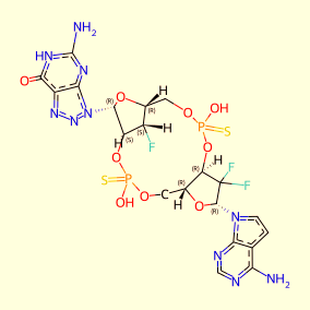 Nc1nc2c(nnn2[C@@H]2O[C@@H]3COP(O)(=S)O[C@@H]4[C@@H](COP(O)(=S)O[C@@H]2[C@H]3F)O[C@@H](n2ccc3c(N)ncnc32)C4(F)F)c(=O)[nH]1